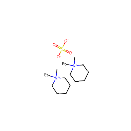 CC[N+]1(C)CCCCC1.CC[N+]1(C)CCCCC1.O=S(=O)([O-])[O-]